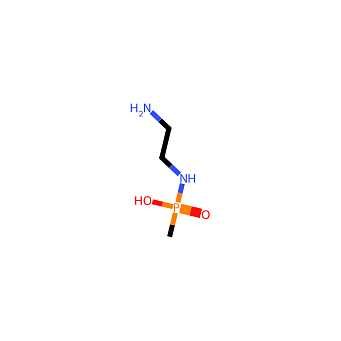 CP(=O)(O)NCCN